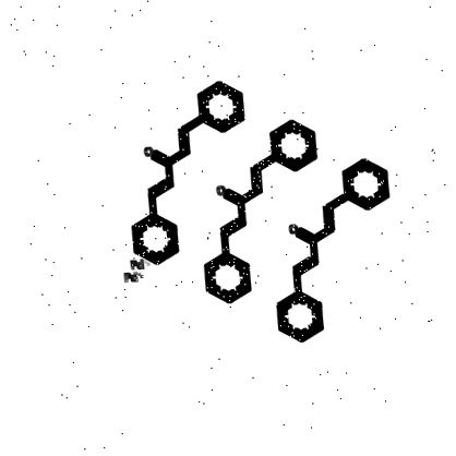 O=C(C=Cc1ccccc1)C=Cc1ccccc1.O=C(C=Cc1ccccc1)C=Cc1ccccc1.O=C(C=Cc1ccccc1)C=Cc1ccccc1.[Pd-].[Pd-]